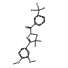 COc1ccc(C2=NN(C(=O)c3cccc(C(F)(F)F)c3)CC2(C)C)cc1OC